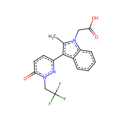 Cc1c(-c2ccc(=O)n(CC(F)(F)F)n2)c2ccccc2n1CC(=O)O